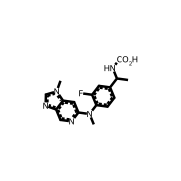 CC(NC(=O)O)c1ccc(N(C)c2cc3c(cn2)ncn3C)c(F)c1